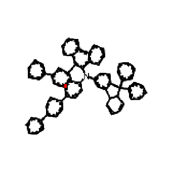 C1=CC2c3cc(N(c4ccc(-c5ccc(-c6ccccc6)cc5)cc4)c4c(-c5cccc(-c6ccccc6)c5)c5ccccc5c5ccccc45)ccc3C(c3ccccc3)(c3ccccc3)C2C=C1